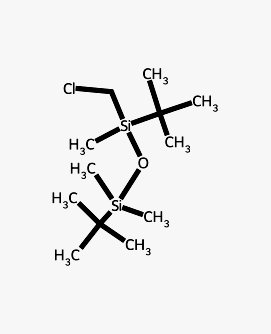 CC(C)(C)[Si](C)(C)O[Si](C)(CCl)C(C)(C)C